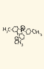 COc1cccc(P(=O)(c2ccc(C)cc2)c2ccc(C)cc2)c1I